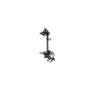 Cc1ncsc1-c1ccc(CNC(=O)[C@@H]2C[C@@H](O)CN2C(=O)[C@@H](NC(=O)CCCCCCCCCCCNCCCONC(=O)c2ccc(F)c(F)c2Nc2ccc(I)cc2F)C(C)(C)C)cc1